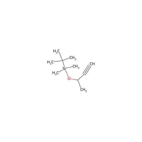 C#CC(C)O[Si](C)(C)C(C)(C)C